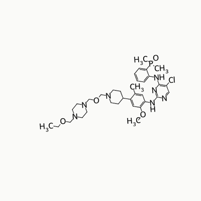 CCOCN1CCN(COCN2CCC(c3cc(OC)c(Nc4ncc(Cl)c(Nc5ccccc5P(C)(C)=O)n4)cc3C)CC2)CC1